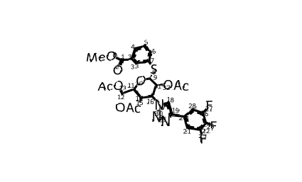 COC(=O)c1cccc(S[C@H]2OC(COC(C)=O)[C@H](OC(C)=O)C(n3cc(-c4cc(F)c(F)c(F)c4)nn3)[C@@H]2OC(C)=O)c1